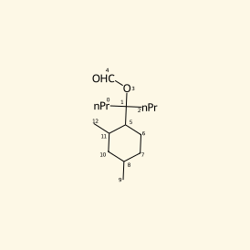 CCCC(CCC)(OC=O)C1CCC(C)CC1C